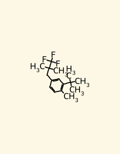 Cc1ccc(CC(C)(C)C(F)(F)F)cc1C(C)(C)C